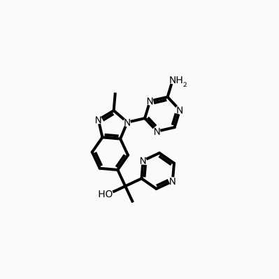 Cc1nc2ccc(C(C)(O)c3cnccn3)cc2n1-c1ncnc(N)n1